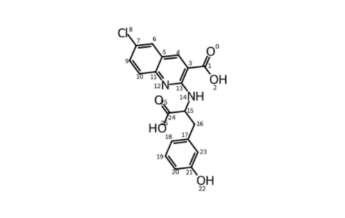 O=C(O)c1cc2cc(Cl)ccc2nc1NC(Cc1cccc(O)c1)C(=O)O